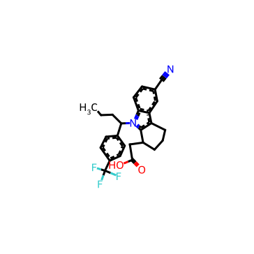 CCCC(c1ccc(C(F)(F)F)cc1)n1c2c(c3cc(C#N)ccc31)CCCC2CC(=O)O